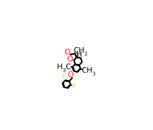 C=C1C(=O)OC2c3c(C)c(OCc4c(F)cccc4F)cc(C)c3CC[C@@H]12